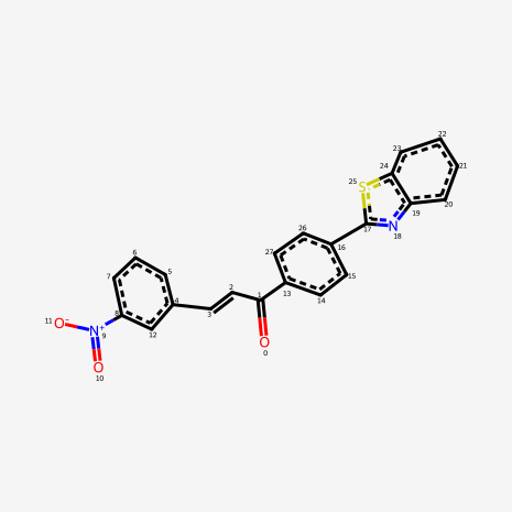 O=C(C=Cc1cccc([N+](=O)[O-])c1)c1ccc(-c2nc3ccccc3s2)cc1